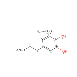 CC(=O)NCCc1ccc(O)c(O)c1.CC(=O)O